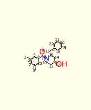 Cc1cc(C)cc(C(=O)N2CCC(O)CC2Cc2ccccc2)c1